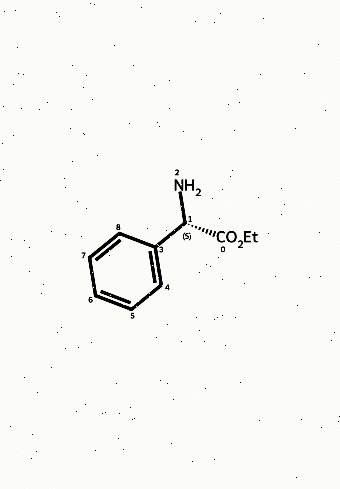 CCOC(=O)[C@@H](N)c1ccccc1